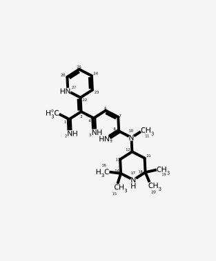 CC(=N)/C(C(=N)/C=C\C(=N)N(C)C1CC(C)(C)NC(C)(C)C1)=C1/C=CC=CN1